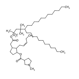 CC/C=C\CC1C(CC(=O)OC(C)(C)CC(C)(C)C(CCCCCCCCCCCC)CCCCCCCCCCCC)CCC1OC(=O)C1CCN(C)C1